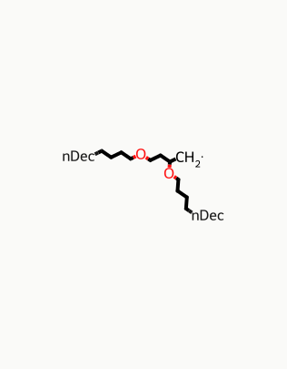 [CH2]C(CCOCCCCCCCCCCCCCC)OCCCCCCCCCCCCCC